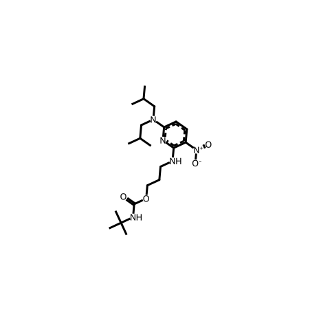 CC(C)CN(CC(C)C)c1ccc([N+](=O)[O-])c(NCCCOC(=O)NC(C)(C)C)n1